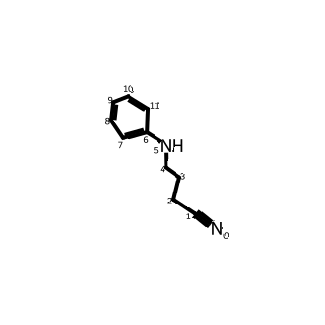 N#CCCCNc1ccccc1